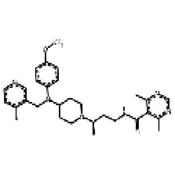 Cc1ccncc1CN(c1ccc(OC(F)(F)F)cc1)C1CCN([C@H](C)CCNC(=O)c2c(C)ncnc2C)CC1